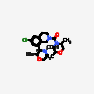 CC1CN(C(=O)N2CCc3cc(Cl)cc([C@@H]4C(C(C)(C)C)OCCN4C(=O)O)c3C2)C(C)CO1